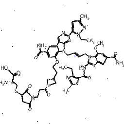 CCc1nc(C)sc1C(=O)Nc1nc2cc(C(N)=O)cc(OC)c2n1C/C=C/Cn1c2nc(-c3cc(C)nn3CC)ncc2c2cc(C(N)=O)cc(OCCC3CN(C(=O)CCN4C(=O)CC(SC[C@H](N)C(=O)O)C4=O)C3)c21